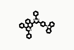 c1ccc(-c2cc(-c3ccccc3)c3c(cc(-c4cc(-c5ccc(-n6c7ccccc7c7ccccc76)cc5)nc(-c5ccccc5)n4)c4ccccc43)n2)cc1